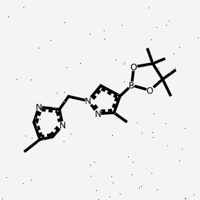 Cc1cnc(Cn2cc(B3OC(C)(C)C(C)(C)O3)c(C)n2)nc1